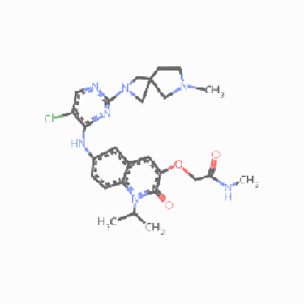 CNC(=O)COc1cc2cc(Nc3nc(N4CC5(CCN(C)C5)C4)ncc3Cl)ccc2n(C(C)C)c1=O